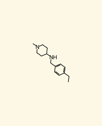 CCc1ccc(CNC2CCN(C)CC2)cc1